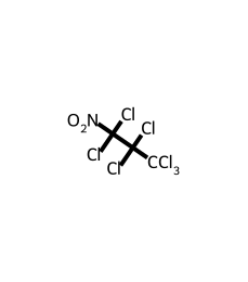 O=[N+]([O-])C(Cl)(Cl)C(Cl)(Cl)C(Cl)(Cl)Cl